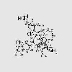 CCC1=[C]([Hf]([CH3])([CH3])(=[SiH2])[C]2=C(CC)C=C3C2=CC=CCC3c2ccc(C(C)(C)C)c(Cl)c2)C2=CC=CCC(c3ccc(C(C)(C)C)c(Cl)c3)C2=C1.Cl.Cl